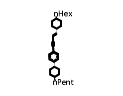 CCCCCC[C@H]1CC[C@H](C=CC#Cc2ccc([C@H]3CC[C@H](CCCCC)CC3)cc2)CC1